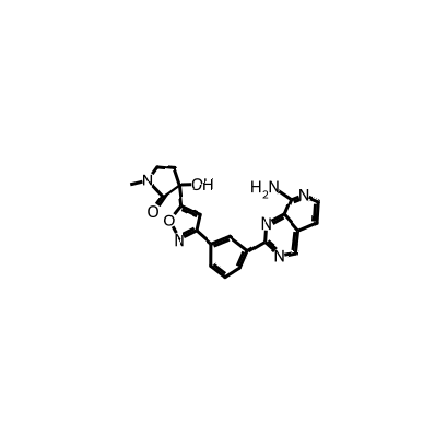 CN1CCC(O)(c2cc(-c3cccc(-c4ncc5ccnc(N)c5n4)c3)no2)C1=O